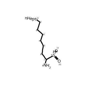 CCCCCCCCCCCCCC(N)[SH](=O)=O